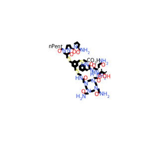 CCCCCC(=O)N=CC(CSCc1cc(CSCCNC(=O)CN2CCN(CC(N)=O)CCN(CC(N)=O)CCN(CC(N)=O)CC2)cc(CSCC(NC(=O)[C@H](Cc2ccccc2)NC(=O)[C@H](CCC(N)=O)NC(=O)[C@@H](C)[C@@H](C)O)C(=O)O)c1)C(=O)N1CCC[C@H]1C(=O)N1CCC[C@H]1C(N)=O